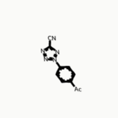 CC(=O)c1ccc(-n2nnc(C#N)n2)cc1